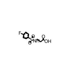 O=C(O)CCNS(=O)(=O)c1ccc(F)cc1